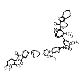 Cc1c(-c2cc(Nc3ccc(N4CCN(C5CCN(c6ccc7c(c6)C(=O)N(C6CCC(=O)NC6=O)C7=O)CC5)C[C@@H]4C)cn3)c(=O)n(C)c2)ccnc1N1CCc2c(sc3c2CCCC3)C1=O